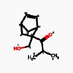 CC(C)C(=O)C1(CO)CC2C=CC1C2